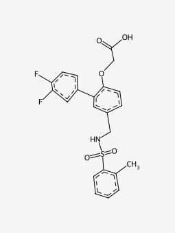 Cc1ccccc1S(=O)(=O)NCc1ccc(OCC(=O)O)c(-c2ccc(F)c(F)c2)c1